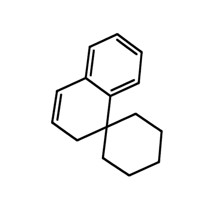 C1=Cc2ccccc2C2(C1)CCCCC2